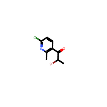 Cc1nc(Cl)ccc1C(=O)C(C)Br